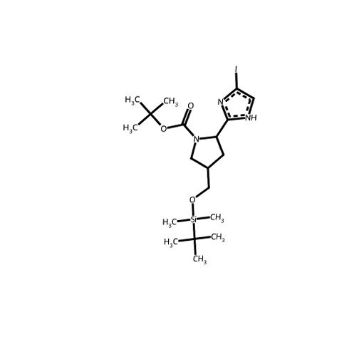 CC(C)(C)OC(=O)N1CC(CO[Si](C)(C)C(C)(C)C)CC1c1nc(I)c[nH]1